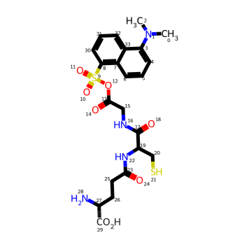 CN(C)c1cccc2c(S(=O)(=O)OC(=O)CNC(=O)C(CS)NC(=O)CCC(N)C(=O)O)cccc12